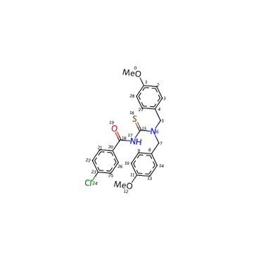 COc1ccc(CN(Cc2ccc(OC)cc2)C(=S)NC(=O)c2ccc(Cl)cc2)cc1